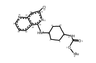 CC(C)(C)OC(=O)NC1CCC(Nc2nc(Cl)cc3ncccc23)CC1